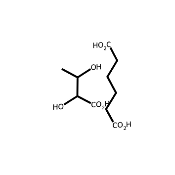 CC(O)C(O)C(=O)O.O=C(O)CCCCC(=O)O